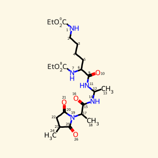 CCOC(=O)NCCCCC(NC(=O)OCC)C(=O)NC(C)NC(=O)C(C)N1C(=O)CC(C)C1=O